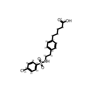 O=C(O)CCCCc1ccc(CCNS(=O)(=O)c2ccc(Cl)cc2)cc1